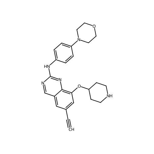 C#Cc1cc(OC2CCNCC2)c2nc(Nc3ccc(N4CCOCC4)cc3)ncc2c1